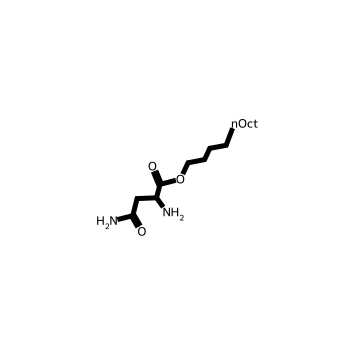 CCCCCCCCCCCCOC(=O)C(N)CC(N)=O